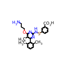 Cc1cccc(C)c1-c1nc(NSc2cccc(C(=O)O)c2)nc(OCCCN)c1C